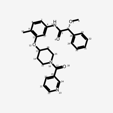 CO[C@@H](C(=O)Nc1ccc(C)c(OC2CCN(C(=O)c3cccnc3)CC2)c1)c1ccccc1